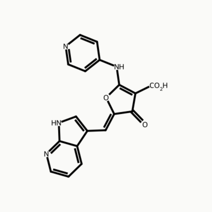 O=C(O)C1=C(Nc2ccncc2)OC(=Cc2c[nH]c3ncccc23)C1=O